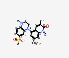 COc1cc(N2CCN(C)c3ccc(S(C)(=O)=O)cc32)c2cc(C)c(=O)n(C)c2c1